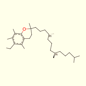 CCc1c(C)c(C)c2c(c1C)CCC(C)(CCC[C@H](C)CCC[C@H](C)CCCC(C)C)O2